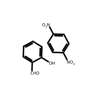 O=Cc1ccccc1O.O=[N+]([O-])c1ccc([N+](=O)[O-])cc1